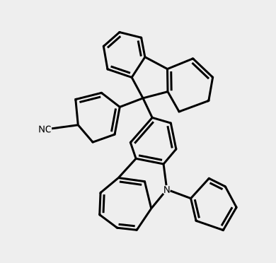 N#CC1C=CC(C2(c3ccc4c(c3)C3=CC(C=CC=C3)N4c3ccccc3)C3=C(C=CCC3)c3ccccc32)=CC1